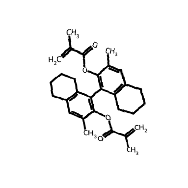 C=C(C)C(=O)Oc1c(C)cc2c(c1-c1c3c(cc(C)c1OC(=O)C(=C)C)CCCC3)CCCC2